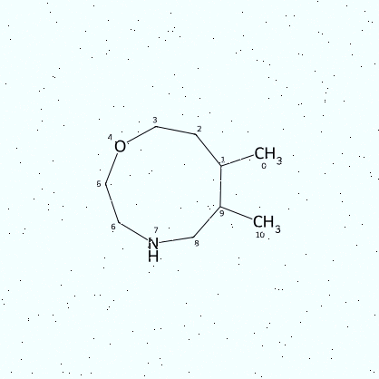 CC1CCOCCNCC1C